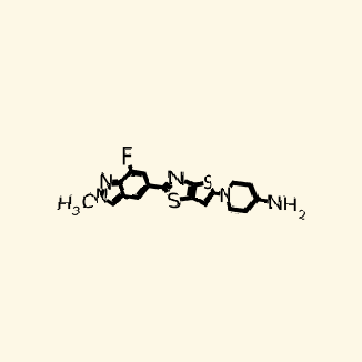 Cn1cc2cc(-c3nc4sc(N5CCC(N)CC5)cc4s3)cc(F)c2n1